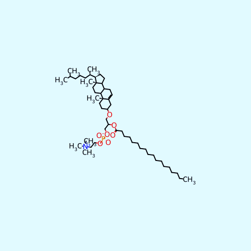 CCCCCCCCCCCCCCCCCC(=O)OC(COC1CC[C@@]2(C)C(=CCC3C2CC[C@@]2(C)C3CC[C@@H]2[C@H](C)CCCC(C)C)C1)COP(=O)([O-])OCC[N+](C)(C)C